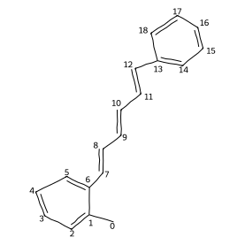 Cc1ccccc1C=CC=CC=Cc1ccccc1